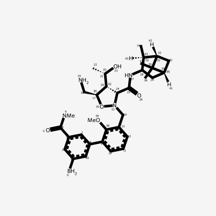 Bc1cc(C(=O)NC)cc(-c2cccc(CN3O[C@@H](CN)[C@H]([C@H](C)O)C3C(=O)NC3C[C@H]4C[C@@H]([C@@H]3C)C4(C)C)c2OC)c1